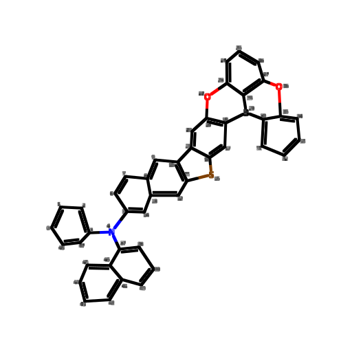 c1ccc(N(c2ccc3cc4c(cc3c2)sc2cc3c(cc24)Oc2cccc4c2B3c2ccccc2O4)c2cccc3ccccc23)cc1